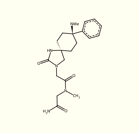 CN[C@]1(c2ccccc2)CC[C@]2(CC1)CN(CC(=O)N(C)CC(N)=O)C(=O)N2